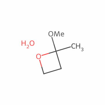 COC1(C)CCO1.O